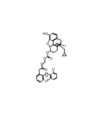 O=C(Cc1ccccc1Nc1c(Cl)cccc1Cl)OCOC(=O)O[C@@H]1CC[C@@]2(O)[C@H]3Cc4ccc(O)c5c4[C@@]2(CCN3CC2CC2)C1O5